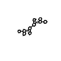 c1ccc(-c2ccc(-n3c4ccccc4c4cc(-c5ccc6c(c5)c5ccccc5n6-c5ccc(-c6ccccc6)c6ccccc56)ccc43)c3ccccc23)cc1